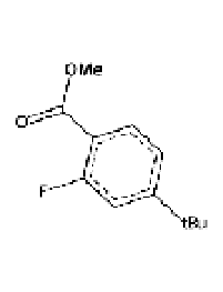 COC(=O)c1ccc(C(C)(C)C)cc1F